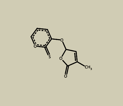 CC1=CC(Oc2cccoc2=S)OC1=O